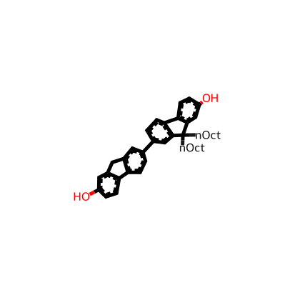 CCCCCCCCC1(CCCCCCCC)c2cc(O)ccc2-c2ccc(-c3ccc4c(c3)Cc3cc(O)ccc3-4)cc21